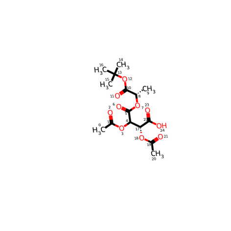 CC(=O)OC(C(=O)O[C@@H](C)C(=O)OC(C)(C)C)[C@@H](OC(C)=O)C(=O)O